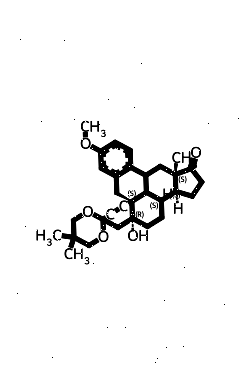 COc1ccc2c(c1)C[C@]13CCC4(C[C@]1(O)CC[C@@H]1C3C2C[C@]2(C)C(=O)CC[C@@H]12)OCC(C)(C)CO4